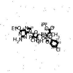 CCOc1nc(N)nc2c1ncn2[C@@H]1O[C@H](COP(=O)(N[C@@H](C)C(=O)OC(C)C)Oc2ccc(Cl)cc2)[C@@H](O)[C@@]1(C)F